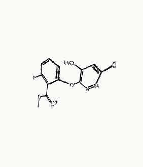 COC(=O)c1c(F)cccc1Oc1nnc(Cl)cc1O